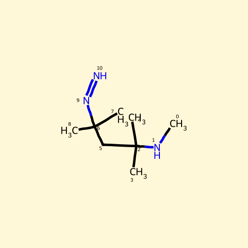 CNC(C)(C)CC(C)(C)N=N